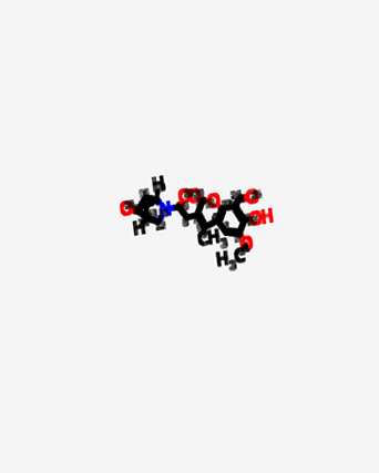 COc1cc2c(C)c(CC(=O)N3C[C@H]4C[C@@H]3CC4=O)c(=O)oc2c(C=O)c1O